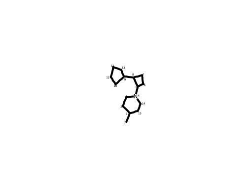 CC1CCN(C2CCC2C2CCCC2)CC1